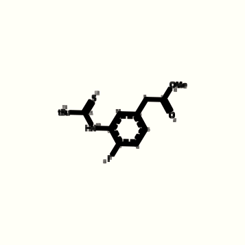 COC(=O)Cc1ccc(F)c(NC(=S)C(C)(C)C)c1